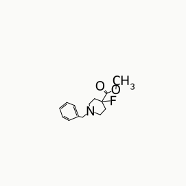 COC(=O)C1(F)CCN(Cc2ccccc2)CC1